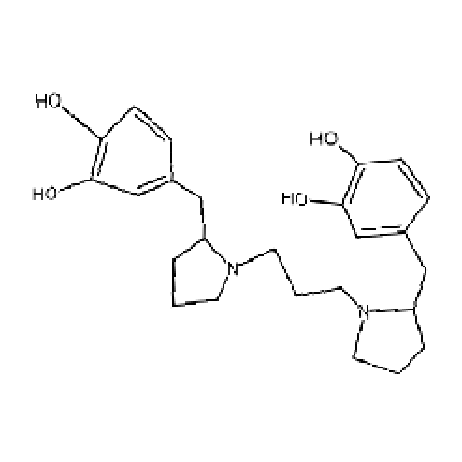 Oc1ccc(CC2CCCN2CCCN2CCCC2Cc2ccc(O)c(O)c2)cc1O